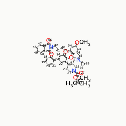 COc1cc(CN(C(=O)C2=C(c3cccc(-c4ccccc4)c3)CCN(C(=O)OC(C)(C)C)C2)C2CC2)cc(OCCCN2C(=O)c3ccccc3C2=O)c1